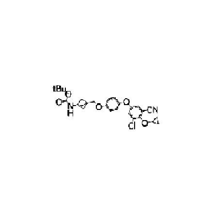 CC(C)(C)OC(=O)NC12CC(COc3ccc(Oc4cc(Cl)c(OC5CC5)c(C#N)c4)cc3)(C1)C2